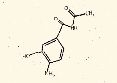 CC(=O)NC(=O)c1ccc(N)c(O)c1